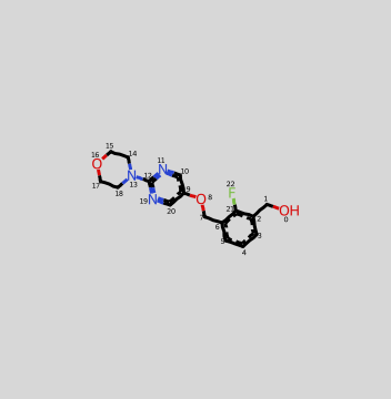 OCc1cccc(COc2cnc(N3CCOCC3)nc2)c1F